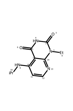 CCn1c(=O)[nH]c(=O)c2c(NC(C)C)ccnc21